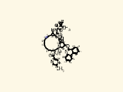 Cc1cnc(C(=O)N[C@H]2CCCCC/C=C\C3C[C@@]3(C(=O)NS(=O)(=O)C3(C)CC3)NC(=O)[C@@H]3C[C@@H](Oc4nc5ccccc5c5ccccc45)CN3C2=O)cn1